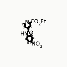 CCOC(=O)c1cc(C2Nc3ccc([N+](=O)[O-])cc3O2)ccn1